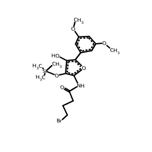 COc1cc(OC)cc(-c2oc(NC(=O)CCCBr)c(O[Si](C)(C)C)c2O)c1